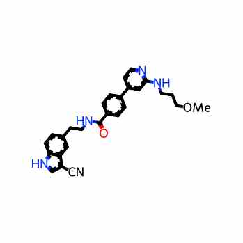 COCCCNc1cc(-c2ccc(C(=O)NCCc3ccc4[nH]cc(C#N)c4c3)cc2)ccn1